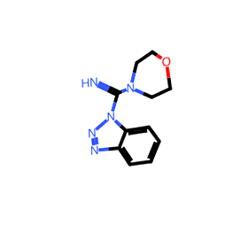 N=C(N1CCOCC1)n1nnc2ccccc21